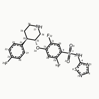 O=S(=O)(Nc1ncns1)c1cc(F)c(O[C@H]2CNCC[C@@H]2c2ccc(F)cc2)cc1F